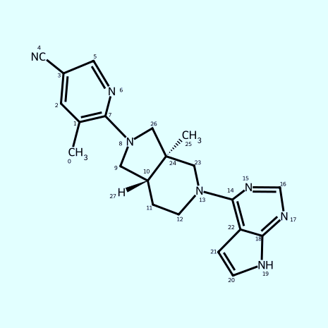 Cc1cc(C#N)cnc1N1C[C@H]2CCN(c3ncnc4[nH]ccc34)C[C@]2(C)C1